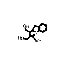 CCCc1c(CO)c(CO)c2n1-c1ccccc1C2